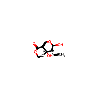 C=C[C@H]1C(O)OC=C2C(=O)OCC[C@]21O